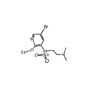 [CH2]COc1ncc(Br)cc1N(CCN(C)C)[SH](=O)=O